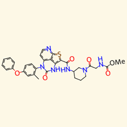 COC(=O)NCC(=O)N1CCCC(NC(=O)c2sc3nccc4c3c2NC(=O)N4c2ccc(Oc3ccccc3)cc2C)C1